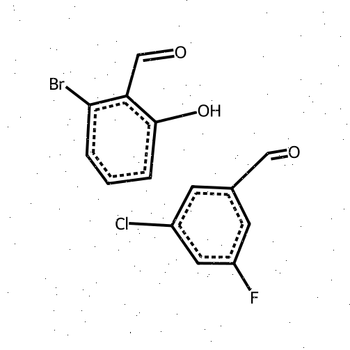 O=Cc1c(O)cccc1Br.O=Cc1cc(F)cc(Cl)c1